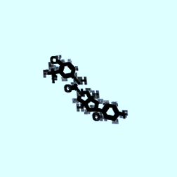 O=C(Nc1ccc(Cl)c(C(F)(F)F)c1)N1C[C@@H]2C[C@@](O)(c3ccc(F)cc3)C[C@@H]2C1